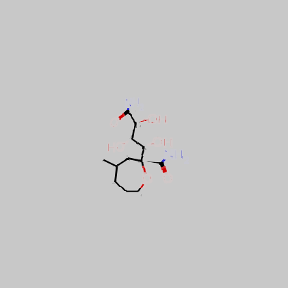 CC1CCCO[C@@](C(N)=O)([C@@H](O)[C@H](O)[C@H](O)C(N)=O)C1